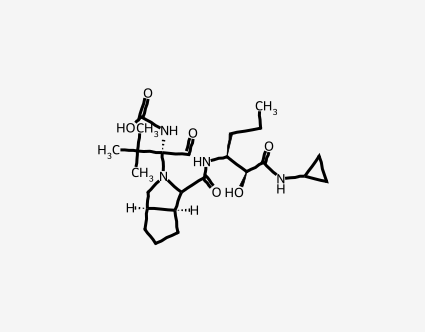 CCC[C@H](NC(=O)C1[C@H]2CCC[C@H]2CN1[C@@](C=O)(NC(=O)O)C(C)(C)C)[C@H](O)C(=O)NC1CC1